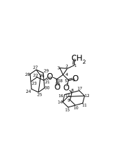 C=CC1CC1(C(=O)OC12CC3CC(CC(C3)C1)C2)C(=O)OC12CC3CC(CC(C3)C1)C2